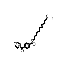 CCCCCCCCCCCCSC(=O)c1ccc(C(=O)N2CCOCC2)cc1